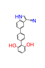 N#Cc1c[nH]c2ccc(-c3ccc(-c4c(O)cccc4O)cc3)cc12